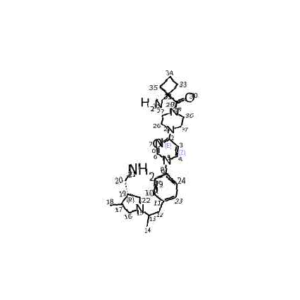 C/N=C(\C=C/N(C=O)c1ccc(CC(C)N2CC(C)[C@H](CN)C2)cc1)N1CCN(C(=O)C2(N)CCC2)CC1